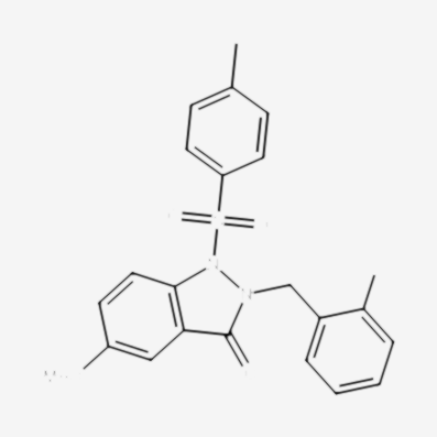 COc1ccc2c(c1)c(=O)n(Cc1ccccc1F)n2S(=O)(=O)c1ccc(C)cc1